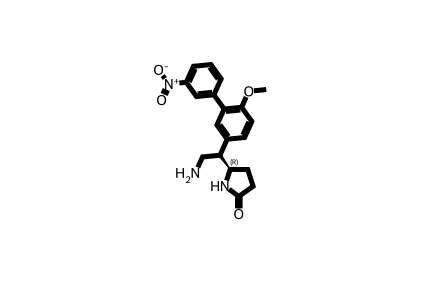 COc1ccc(C(CN)[C@H]2CCC(=O)N2)cc1-c1cccc([N+](=O)[O-])c1